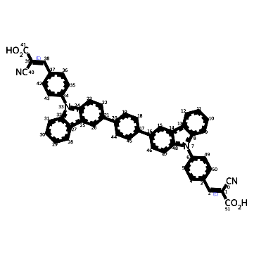 N#C/C(=C\c1ccc(-n2c3ccccc3c3cc(-c4ccc(-c5ccc6c(c5)c5ccccc5n6-c5ccc(/C=C(\C#N)C(=O)O)cc5)cc4)ccc32)cc1)C(=O)O